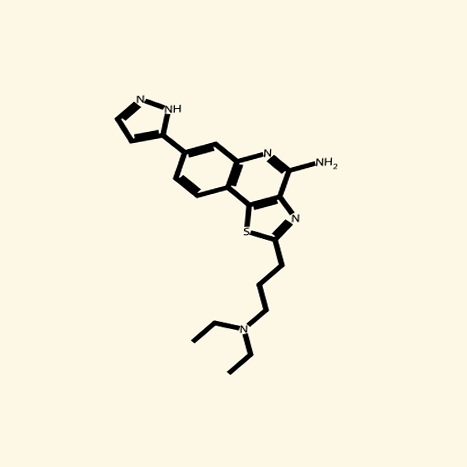 CCN(CC)CCCc1nc2c(N)nc3cc(-c4ccn[nH]4)ccc3c2s1